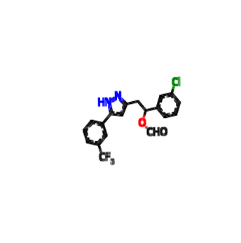 O=COC(Cc1cc(-c2cccc(C(F)(F)F)c2)[nH]n1)c1cccc(Cl)c1